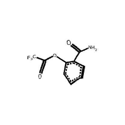 NC(=O)c1ccccc1OC(=O)C(F)(F)F